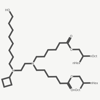 CCCCCCCCC(CCCCCC)COC(=O)CCCCCN(CCCCCC(=O)OCC(CCCCCC)CCCCCCCC)CCN(CCCCCCCCO)C1CCC1